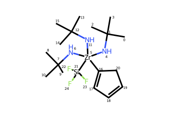 CC(C)(C)[NH][Zr]([NH]C(C)(C)C)([NH]C(C)(C)C)([C]1=CC=CC1)[Si](F)(F)F